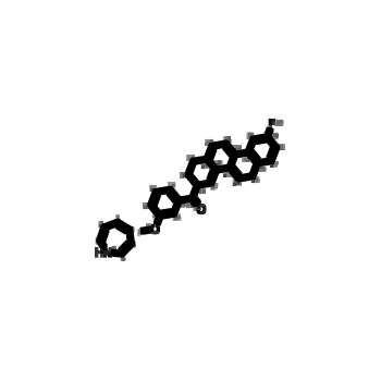 C1=CC=CNC=C1.COc1cccc(C(=O)C2C=c3c(ccc4c3=CCc3ccc(F)cc3-4)CC2)c1